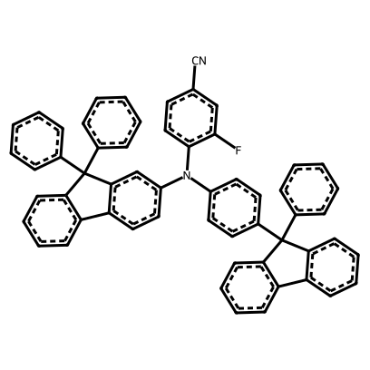 N#Cc1ccc(N(c2ccc(C3(c4ccccc4)c4ccccc4-c4ccccc43)cc2)c2ccc3c(c2)C(c2ccccc2)(c2ccccc2)c2ccccc2-3)c(F)c1